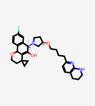 OC1=C2C(OCCC23CC3)c2ccc(F)cc2[C@H]1N1CC[C@@H](OCCCCc2ccc3c(n2)NCCC3)C1